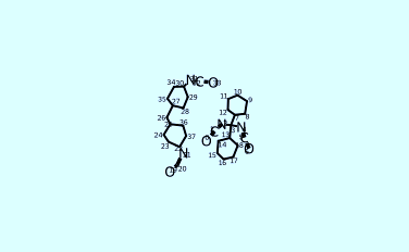 O=C=NC(N=C=O)(C1CCCCC1)C1CCCCC1.O=C=NC1CCC(CC2CCC(N=C=O)CC2)CC1